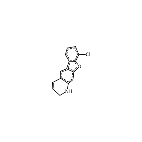 Clc1cccc2c1oc1cc3c(cc12)C=CCN3